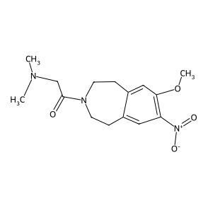 COc1cc2c(cc1[N+](=O)[O-])CCN(C(=O)CN(C)C)CC2